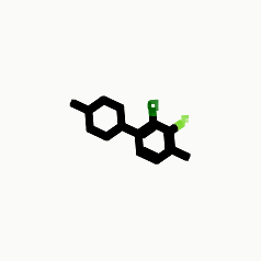 Cc1ccc(C2CCC(C)CC2)c(Cl)c1F